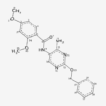 COc1ccc(C(=O)Nc2cnc(OCc3ccccc3)nc2N)c(OC)c1